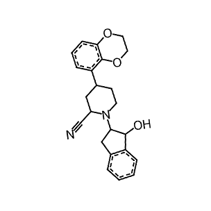 N#CC1CC(c2cccc3c2OCCO3)CCN1C1Cc2ccccc2C1O